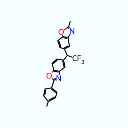 Cc1ccc(-c2nc3cc(C(c4ccc5oc(C)nc5c4)C(F)(F)F)ccc3o2)cc1